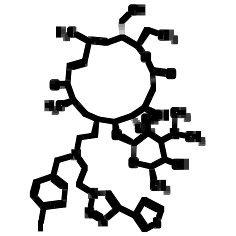 CC[C@H]1OC(=O)C[C@@H](O)[C@H](C)[C@@H](O[C@@H]2O[C@H](C)C(O)C(N(C)C)C2O)[C@@H](CCN(CCn2cc(-c3ccsc3)nn2)Cc2ccc(I)cc2)C[C@@H](C)C(=O)/C=C/C(C)=C/[C@@H]1CO